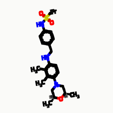 Cc1c(NCc2ccc(NS(=O)(=O)C(C)C)cc2)ccc(N2C[C@@H](C)O[C@@H](C)C2)c1C